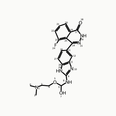 CN(C)CCOC(O)Nc1nc2cc(-c3n[nH]c(=O)c4cccc(F)c34)ccc2[nH]1